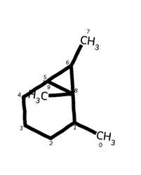 CC1CCC[C]2C(C)C21C